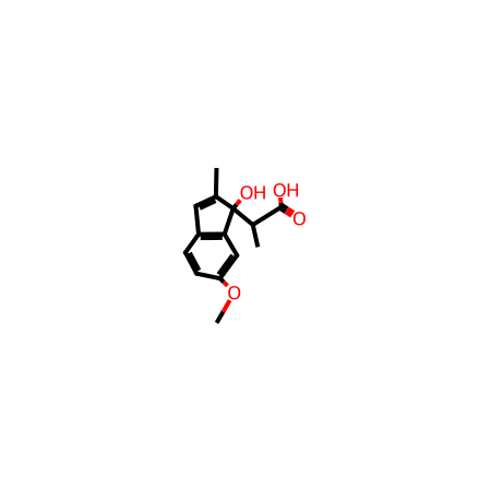 COc1ccc2c(c1)C(O)(C(C)C(=O)O)C(C)=C2